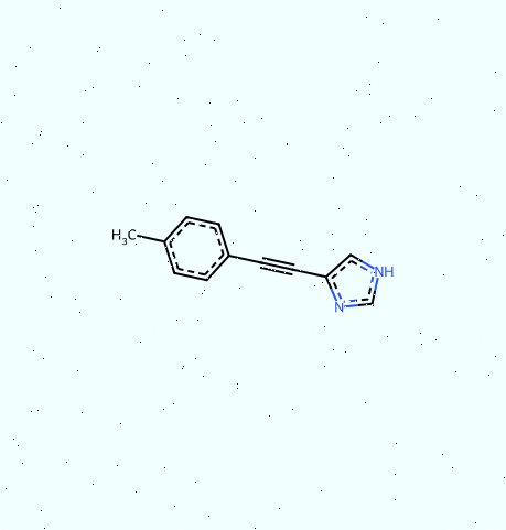 Cc1ccc(C#Cc2c[nH]cn2)cc1